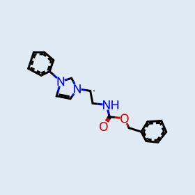 O=C(NC[CH]N1C=CN(c2ccccc2)C1)OCc1ccccc1